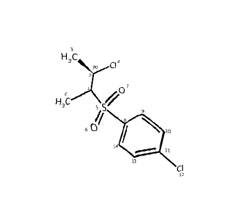 CC([C@@H](C)Cl)S(=O)(=O)c1ccc(Cl)cc1